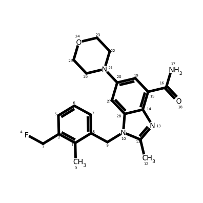 Cc1c(CF)cccc1Cn1c(C)nc2c(C(N)=O)cc(N3CCOCC3)cc21